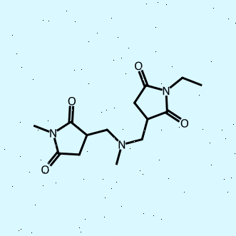 CCN1C(=O)CC(CN(C)CC2CC(=O)N(C)C2=O)C1=O